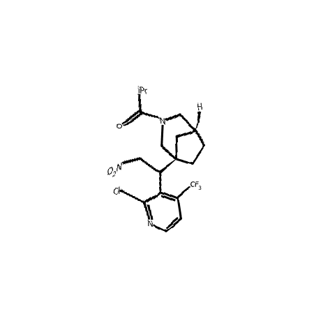 CC(C)C(=O)N1C[C@@H]2CC[C@@](C(C[N+](=O)[O-])c3c(C(F)(F)F)ccnc3Cl)(C2)C1